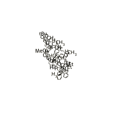 C=C1C2C[C@@H]3O[C@H](C[C@H]4CN(C(=O)OC(C)(C)C)C(C)(C)O4)[C@H](OC)[C@H]3CC(=O)CC3CC[C@@H]4O[C@H]5[C@@H](CC(C)(C)[Si](O)(c6ccccc6)c6ccccc6)[C@@H](CC(O[Si](CC)(CC)CC)/C=C/C6CC(=C)[C@H](CC[C@@H](C[C@H]1C)O2)O6)O[C@H]5[C@@H](CC(C)(C)[Si](O)(c1ccccc1)c1ccccc1)[C@H]4O3